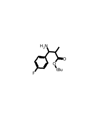 C[C](C(=O)OC(C)(C)C)C(N)c1ccc(F)cc1